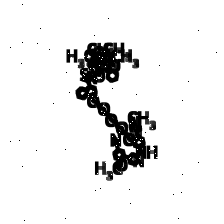 COc1ccc(C#N)cc1-c1ccnc(Nc2ccc(N3CCN(C)CC3)c(OCCOCCOCCOCCOc3ccc(-c4csc([C@@H]5CCCN5C(=O)[C@@H](NC(=O)[C@H](C)N(C)C(=O)OC(C)(C)C)C5CCCCC5)n4)c4ccccc34)c2)c1